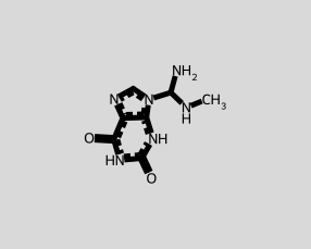 CNC(N)n1cnc2c(=O)[nH]c(=O)[nH]c21